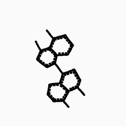 Cc1cccc2c(-c3ccc(C)c4c(C)cccc34)ccc(C)c12